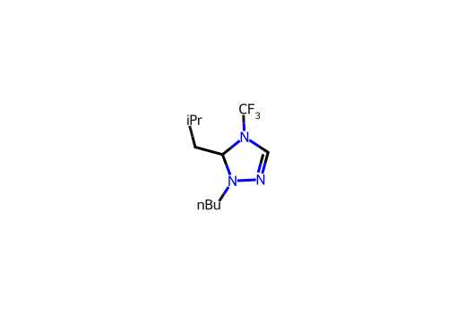 CCCCN1N=CN(C(F)(F)F)C1CC(C)C